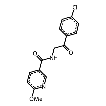 COc1ccc(C(=O)NCC(=O)c2ccc(Cl)cc2)cn1